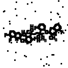 Cc1nc2c(F)cccc2cc1Oc1cccc(F)c1C(C)(O)CCC(C)(O)c1c(F)cccc1Oc1cc2ccc(F)c(F)c2nc1C